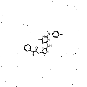 Cc1ccc(N(C)c2nc(C)nc(Nc3ncc(CC(=O)Nc4ccccc4)s3)n2)cc1